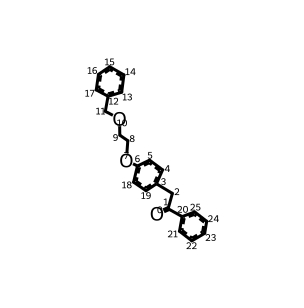 O=C(Cc1ccc(OCCOCc2ccccc2)cc1)c1ccccc1